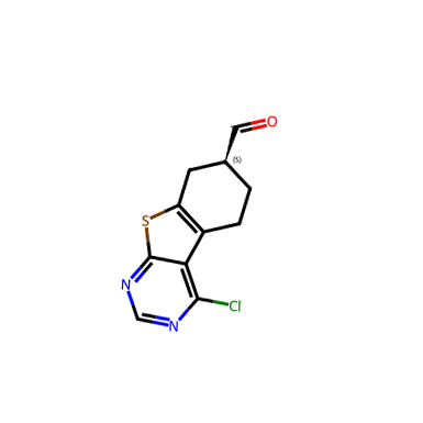 O=[C][C@H]1CCc2c(sc3ncnc(Cl)c23)C1